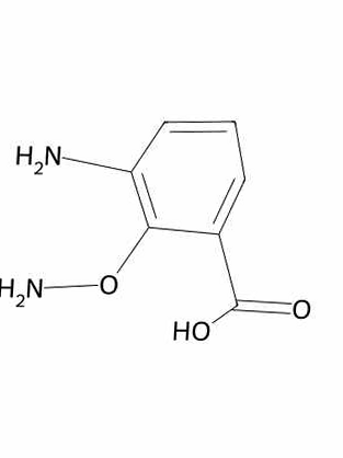 NOc1c(N)cccc1C(=O)O